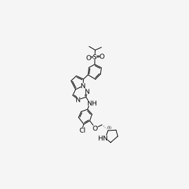 CC(C)S(=O)(=O)c1cccc(-c2ccc3cnc(Nc4ccc(Cl)c(OC[C@@H]5CCCN5)c4)nn23)c1